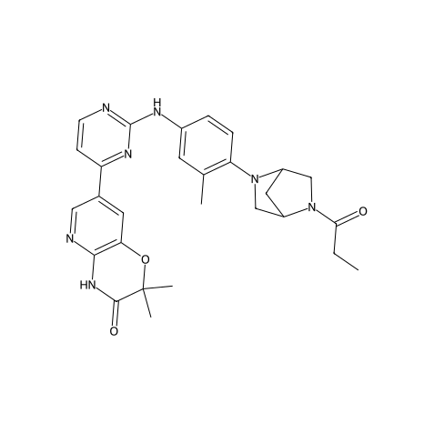 CCC(=O)N1CC2CC1CN2c1ccc(Nc2nccc(-c3cnc4c(c3)OC(C)(C)C(=O)N4)n2)cc1C